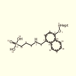 CCCCCCCOc1ccc(CNCCCP(=O)(O)O)c2ccccc12